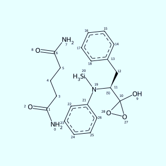 NC(=O)CCCC(N)=O.OC1([C@H](Cc2ccccc2)N([SiH3])c2ccccc2)OO1